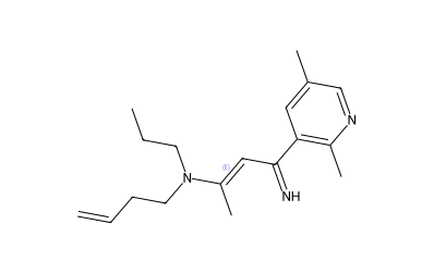 C=CCCN(CCC)/C(C)=C/C(=N)c1cc(C)cnc1C